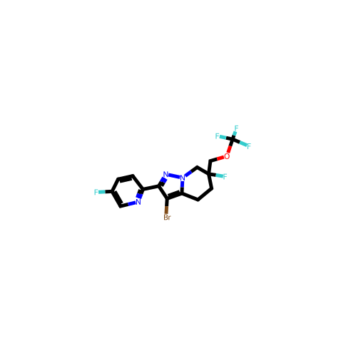 Fc1ccc(-c2nn3c(c2Br)CCC(F)(COC(F)(F)F)C3)nc1